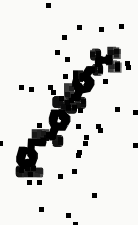 CCC(CC)C(=O)OCc1ccc(C(=O)NS(=O)(=O)c2ccc(C(=O)NCCc3ccc(OC)cc3)cc2)cn1